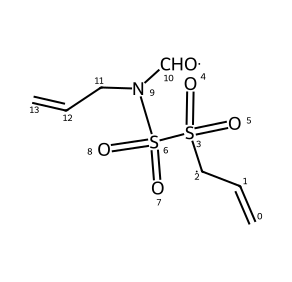 C=C[CH]S(=O)(=O)S(=O)(=O)N([C]=O)CC=C